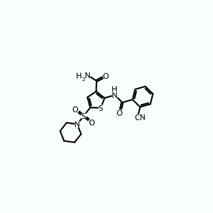 N#Cc1ccccc1C(=O)Nc1sc(S(=O)(=O)N2CCCCC2)cc1C(N)=O